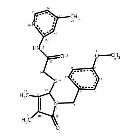 COc1ccc(CN2C(=O)C(C)=C(C)C2SCC(=O)Nc2cc(C)ccn2)cc1